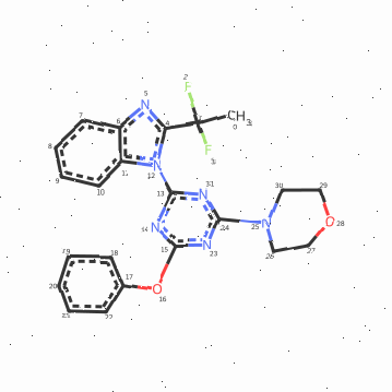 CC(F)(F)c1nc2ccccc2n1-c1nc(Oc2ccccc2)nc(N2CCOCC2)n1